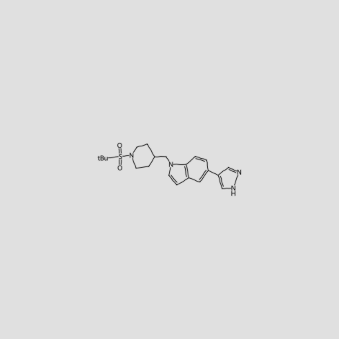 CC(C)(C)S(=O)(=O)N1CCC(Cn2ccc3cc(-c4cn[nH]c4)ccc32)CC1